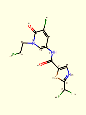 O=C(Nc1cc(F)c(=O)n(CCF)c1)c1cnc(C(F)F)s1